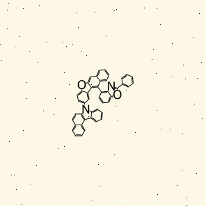 c1ccc(-c2nc3c(-c4c5ccccc5cc5oc6ccc(-n7c8ccccc8c8c9ccccc9ccc87)cc6c45)cccc3o2)cc1